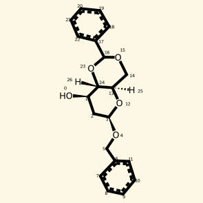 O[C@@H]1C[C@H](OCc2ccccc2)O[C@@H]2COC(c3ccccc3)O[C@@H]12